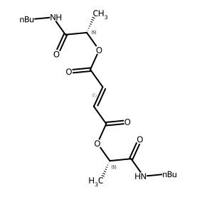 CCCCNC(=O)[C@H](C)OC(=O)/C=C/C(=O)O[C@@H](C)C(=O)NCCCC